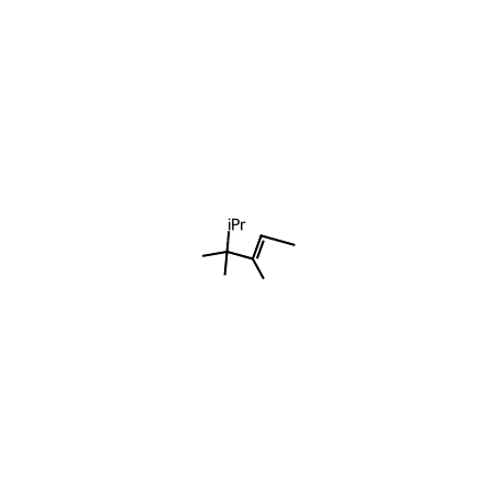 CC=C(C)C(C)(C)C(C)C